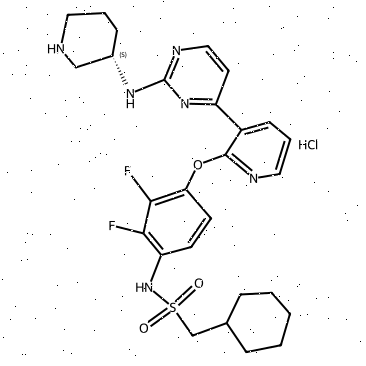 Cl.O=S(=O)(CC1CCCCC1)Nc1ccc(Oc2ncccc2-c2ccnc(N[C@H]3CCCNC3)n2)c(F)c1F